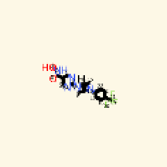 O=C(NO)c1cnc(N2CC3[C@H]2CN3c2ccc(C(F)(F)F)cc2)nc1